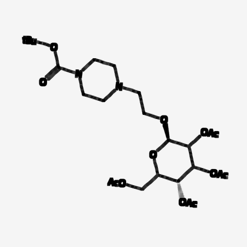 CC(=O)OCC1O[C@@H](OCCN2CCN(C(=O)OC(C)(C)C)CC2)C(OC(C)=O)C(OC(C)=O)[C@@H]1OC(C)=O